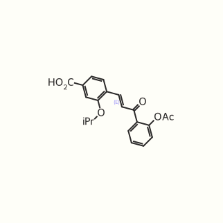 CC(=O)Oc1ccccc1C(=O)/C=C/c1ccc(C(=O)O)cc1OC(C)C